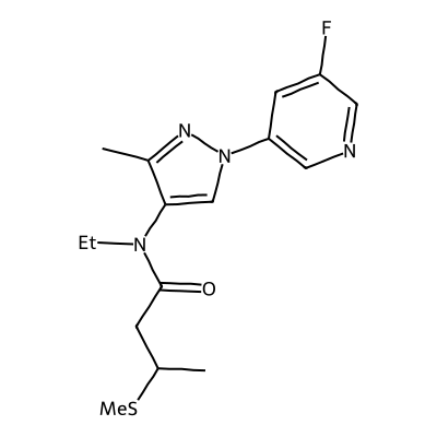 CCN(C(=O)CC(C)SC)c1cn(-c2cncc(F)c2)nc1C